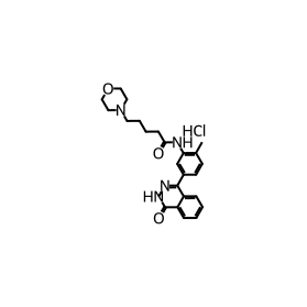 Cc1ccc(-c2n[nH]c(=O)c3ccccc23)cc1NC(=O)CCCCN1CCOCC1.Cl